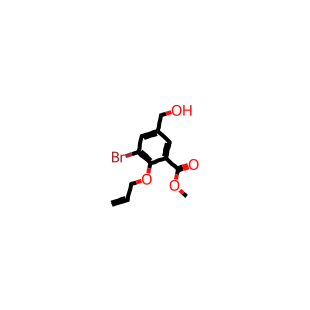 C=CCOc1c(Br)cc(CO)cc1C(=O)OC